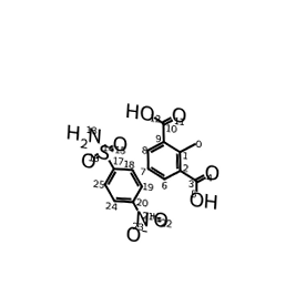 Cc1c(C(=O)O)cccc1C(=O)O.NS(=O)(=O)c1ccc([N+](=O)[O-])cc1